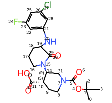 CC(C)(C)OC(=O)N1CC[C@H](C(=O)O)[C@@H](N2CCCC(Nc3cc(F)cc(Cl)c3)C2=O)C1